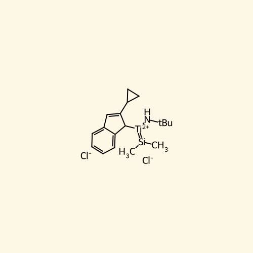 C[Si](C)=[Ti+2]([NH]C(C)(C)C)[CH]1C(C2CC2)=Cc2ccccc21.[Cl-].[Cl-]